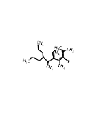 C=C(C)/C(F)=C(C)\C(=C/C)C(=C)C(CCC)CCC